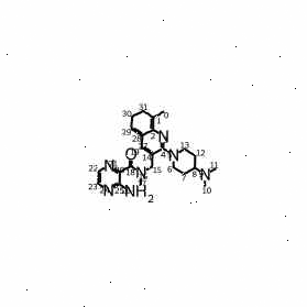 CC1=c2nc(N3CCC(N(C)C)CC3)c(CN(C)C(=O)c3nccnc3N)cc2=CCC1